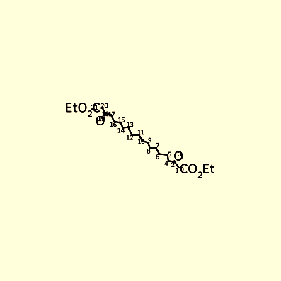 CCOC(=O)CC(=O)CCCCCCCCCCCCCCC(=O)CC(=O)OCC